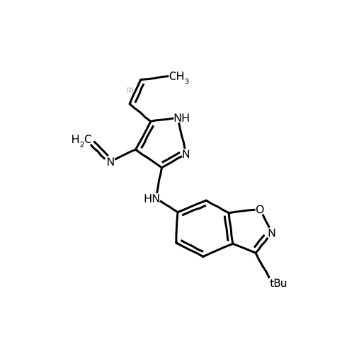 C=Nc1c(Nc2ccc3c(C(C)(C)C)noc3c2)n[nH]c1/C=C\C